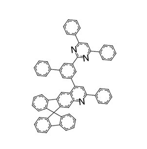 c1ccc(-c2cc(-c3nc(-c4ccccc4)cc(-c4ccccc4)n3)cc(-c3cc(-c4ccccc4)nc4cc5c(cc34)-c3ccccc3C53c4ccccc4-c4ccccc43)c2)cc1